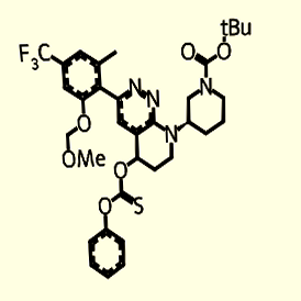 COCOc1cc(C(F)(F)F)cc(C)c1-c1cc2c(nn1)N([C@@H]1CCCN(C(=O)OC(C)(C)C)C1)CCC2OC(=S)Oc1ccccc1